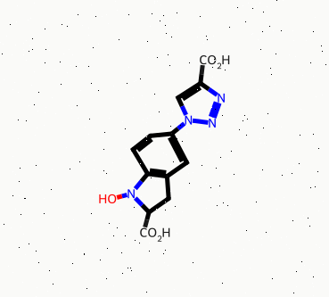 O=C(O)c1cn(-c2ccc3c(c2)CC(C(=O)O)N3O)nn1